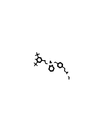 Br.CCOC(=O)CCc1ccc(Cn2c(=N)n(CC(=O)c3cc(C(C)(C)C)c(O)c(C(C)(C)C)c3)c3ccccc32)cc1